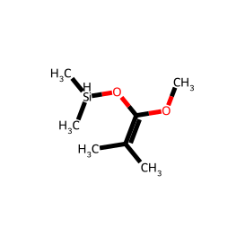 COC(O[SiH](C)C)=C(C)C